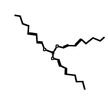 CCCCC=CC=COB(OC=CC=CCCCC)OC=CC=CCCCC